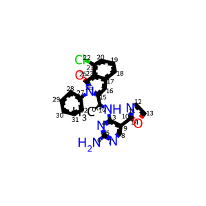 C[C@H](Nc1nc(N)ncc1-c1ncco1)c1cc2cccc(Cl)c2c(=O)n1-c1ccccc1